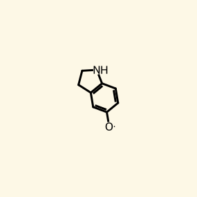 [O]c1ccc2c(c1)CCN2